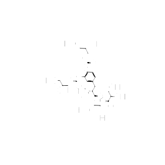 CCC(C)COC(=O)Oc1ccc(C[C@H](N)C(=O)O[C@@H](C)C(C)OC(=O)C(C)CC)cc1OC(=O)OCC(C)CC